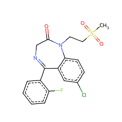 CS(=O)(=O)CCN1C(=O)CN=C(c2ccccc2F)c2cc(Cl)ccc21